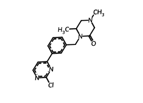 CC1CN(C)CC(=O)N1Cc1cccc(-c2ccnc(Cl)n2)c1